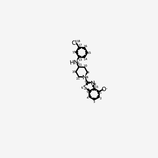 [O]c1cccc2sc(N3CCC(Nc4cccc(Cl)c4)CC3)nc12